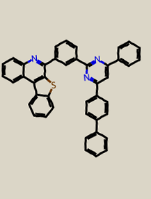 c1ccc(-c2ccc(-c3cc(-c4ccccc4)nc(-c4cccc(-c5nc6ccccc6c6c5sc5ccccc56)c4)n3)cc2)cc1